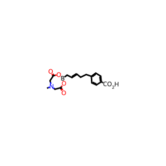 CN1CC(=O)OB(CC=CCCc2ccc(C(=O)O)cc2)OC(=O)C1